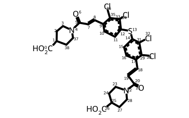 O=C(O)C1CCN(C(=O)C=Cc2ccc(Sc3ccc(C=CC(=O)N4CCC(C(=O)O)CC4)c(Cl)c3Cl)c(Cl)c2Cl)CC1